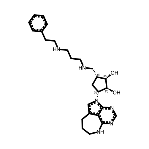 O[C@@H]1[C@@H](CNCCCNCCc2ccccc2)C[C@@H](n2cc3c4c(ncnc42)NCCC3)[C@@H]1O